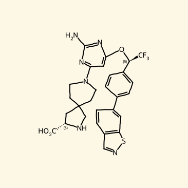 Nc1nc(O[C@H](c2ccc(-c3ccc4cnsc4c3)cc2)C(F)(F)F)cc(N2CCC3(CC2)CN[C@H](C(=O)O)C3)n1